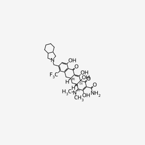 CN(C)[C@@H]1C(O)=C(C(N)=O)C(=O)[C@@]2(O)C(O)=C3C(=O)c4c(O)cc(CN5CC6CCCCC6C5)c(C(F)(F)F)c4C[C@H]3C[C@@H]12